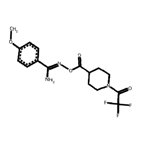 COc1ccc(/C(N)=N/OC(=O)C2CCN(C(=O)C(F)(F)F)CC2)cc1